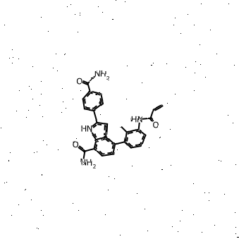 C=CC(=O)Nc1cccc(-c2ccc(C(N)=O)c3[nH]c(-c4ccc(C(N)=O)cc4)cc23)c1C